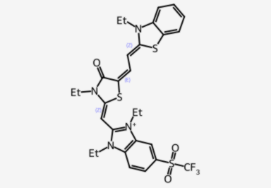 CCN1/C(=C/C=c2/s/c(=C\c3n(CC)c4ccc(S(=O)(=O)C(F)(F)F)cc4[n+]3CC)n(CC)c2=O)Sc2ccccc21